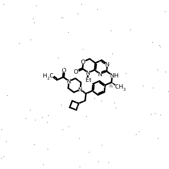 C=CC(=O)N1CCN(C(CC2CCC2)c2ccc([C@H](C)Nc3ncc4c(n3)N(CC)C(=O)OC4)cc2)CC1